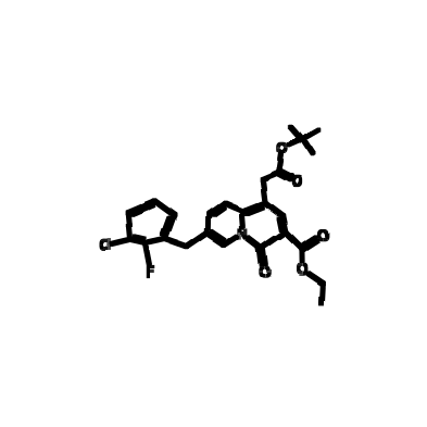 CCOC(=O)c1cc(CC(=O)OC(C)(C)C)c2ccc(Cc3cccc(Cl)c3F)cn2c1=O